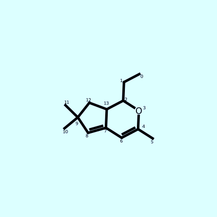 CCC1OC(C)=CC2=CC(C)(C)CC21